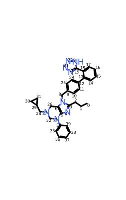 CCCc1nc2c(n1Cc1ccc(-c3ccccc3-c3nnn[nH]3)cc1)CN(CC1CC1)CN2c1ccccc1